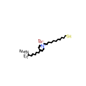 CCC(CCCCCc1cc[n+](CCCCCCCCCCCS)cc1)NC.[Br-]